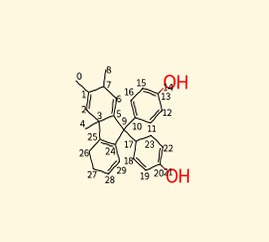 CC1=CC2(C)C(=CC1C)C(c1ccc(O)cc1)(C1C=CC(O)=CC1)C1=C2CCC=C1